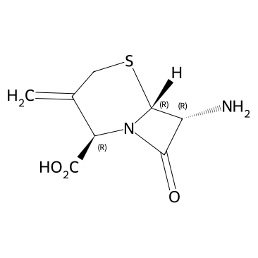 C=C1CS[C@@H]2[C@H](N)C(=O)N2[C@H]1C(=O)O